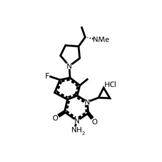 CN[C@@H](C)C1CCN(c2c(F)cc3c(=O)n(N)c(=O)n(C4CC4)c3c2C)C1.Cl